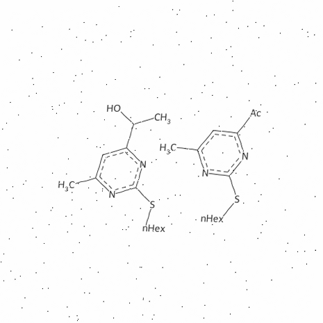 CCCCCCSc1nc(C)cc(C(C)=O)n1.CCCCCCSc1nc(C)cc(C(C)O)n1